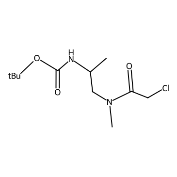 CC(CN(C)C(=O)CCl)NC(=O)OC(C)(C)C